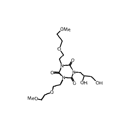 COCCOCCn1c(=O)n(CCOCCOC)c(=O)n(CC(O)CO)c1=O